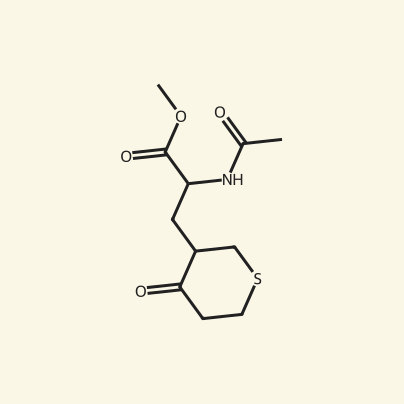 COC(=O)C(CC1CSCCC1=O)NC(C)=O